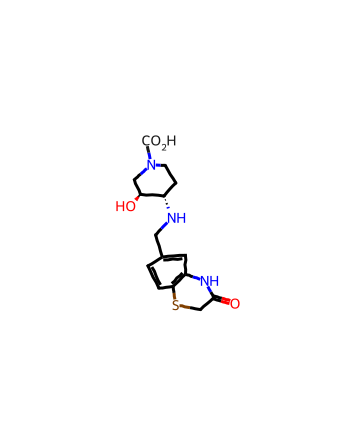 O=C1CSc2ccc(CN[C@H]3CCN(C(=O)O)C[C@@H]3O)cc2N1